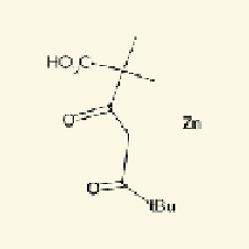 CC(C)(C)C(=O)CC(=O)C(C)(C)C(=O)O.[Zn]